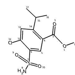 COC(=O)c1cc(S(N)(=O)=O)c(Cl)cc1C(C)C